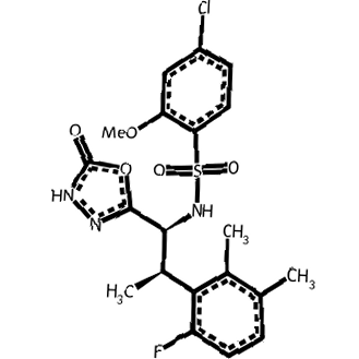 COc1cc(Cl)ccc1S(=O)(=O)N[C@H](c1n[nH]c(=O)o1)[C@H](C)c1c(F)ccc(C)c1C